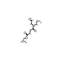 CCOC(=O)CCC(=O)N(CC)CC=O